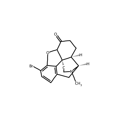 CN1CC[C@]23c4c5ccc(Br)c4OC2C(=O)CC[C@H]3[C@H]1C5